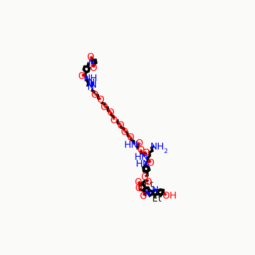 CCc1c2c(nc3ccc(O)cc13)-c1cc3c(c(=O)n1C2)COC(=O)[C@@]3(CC)CC(=O)OCc1ccc(NC(=O)C(CCCCN)NC(=O)COCC(=O)NCCOCCOCCOCCOCCOCCOCCOCCOCCn2cc(CNC(=O)C3CCC(CN4C(=O)C=CC4=O)CC3)nn2)cc1